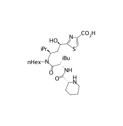 CCCCCCN(C(=O)[C@@H](NC(=O)[C@H]1CCCCN1)[C@@H](C)CC)[C@H](C[C@@H](O)c1nc(C(=O)O)cs1)C(C)C